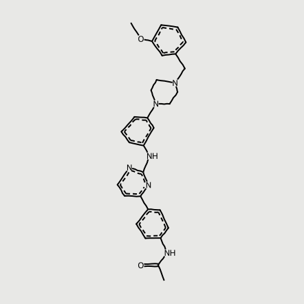 COc1cccc(CN2CCN(c3cccc(Nc4nccc(-c5ccc(NC(C)=O)cc5)n4)c3)CC2)c1